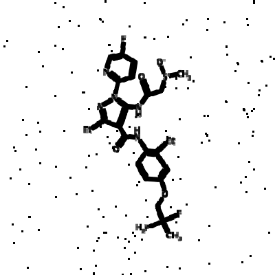 CCc1cc(OCC(C)(F)P)ccc1NC(=O)c1c(CC)nn(-c2ccc(F)cn2)c1NC(=O)C[S+](C)[O-]